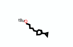 CC(C)(C)OCCCCCC1CC=C(C2CC2)CC1